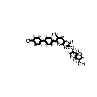 O[C@@H]1CO[C@H]2[C@@H]1OC[C@H]2Oc1nc2nc(-c3ccc(-c4ccc(Cl)cc4)cc3)c(Cl)cc2[nH]1